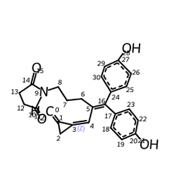 C=C1C/C1=C/C(CCCN1C(=O)CCC1=O)=C(c1ccc(O)cc1)c1ccc(O)cc1